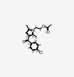 CC(=O)OCCn1c(C)cc(C(=O)c2ccc(Cl)cc2)c1C